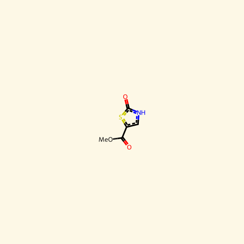 COC(=O)c1c[nH]c(=O)s1